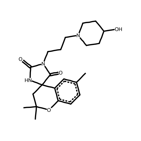 Cc1ccc2c(c1)C1(CC(C)(C)O2)NC(=O)N(CCCN2CCC(O)CC2)C1=O